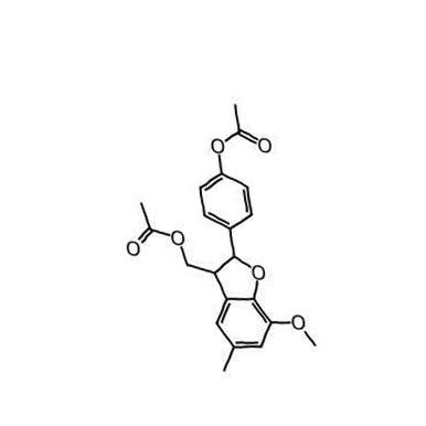 COc1cc(C)cc2c1OC(c1ccc(OC(C)=O)cc1)C2COC(C)=O